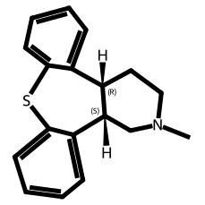 CN1CC[C@H]2c3ccccc3Sc3ccccc3[C@H]2C1